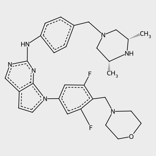 C[C@@H]1CN(Cc2ccc(Nc3ncc4ccn(-c5cc(F)c(CN6CCOCC6)c(F)c5)c4n3)cc2)C[C@H](C)N1